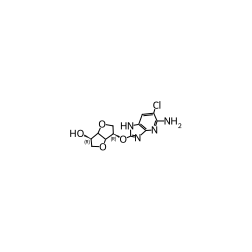 Nc1nc2nc(O[C@@H]3COC4C3OC[C@H]4O)[nH]c2cc1Cl